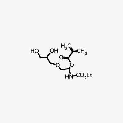 C=C(C)C(=O)OC(COCC(O)CO)NC(=O)OCC